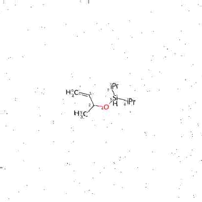 C=CC(C)O[SiH](C(C)C)C(C)C